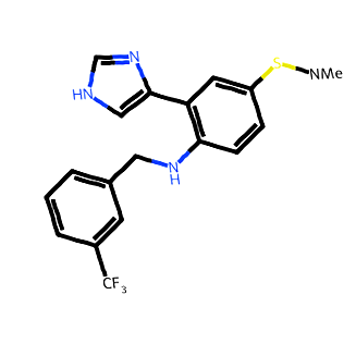 CNSc1ccc(NCc2cccc(C(F)(F)F)c2)c(-c2c[nH]cn2)c1